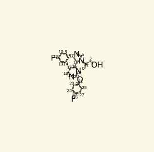 C[C@H](CO)n1cnc(-c2ccc(F)cc2)c1-c1ccnc(Oc2ccc(F)cc2)n1